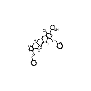 O=C1C2=C3O[C@]34C(=O)c3c(OCc5ccccc5)noc3C[C@@H]4CC2Cc2c(Cl)c(C3CCCN3)cc(OCc3ccccc3)c21